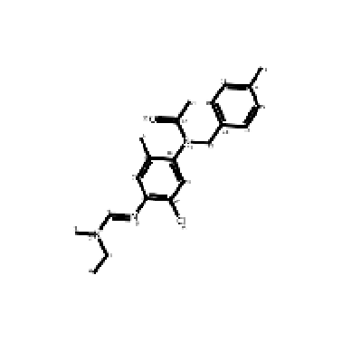 CCN(C)C=Nc1cc(C)c(N(Cc2ccc(C)cc2)C(C)=O)cc1Cl